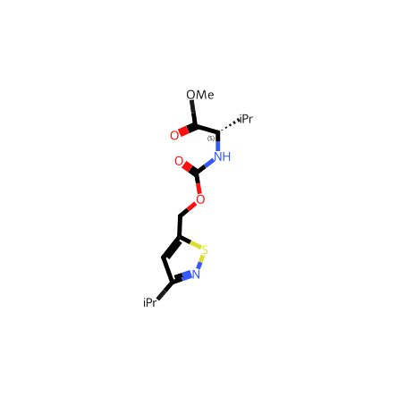 COC(=O)[C@@H](NC(=O)OCc1cc(C(C)C)ns1)C(C)C